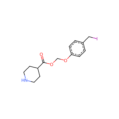 O=C(OCOc1ccc(CI)cc1)C1CCNCC1